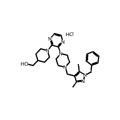 Cc1nn(Cc2ccccc2)c(C)c1CN1CCN(c2nccnc2N2CCC(CO)CC2)CC1.Cl